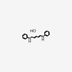 C(C=CNc1ccccc1)=CCNc1ccccc1.Cl